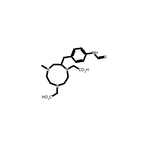 CN1CCN(CC(=O)O)CCN(CC(=O)O)C(Cc2ccc(NC=S)cc2)C1